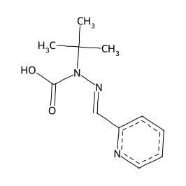 CC(C)(C)N(N=Cc1ccccn1)C(=O)O